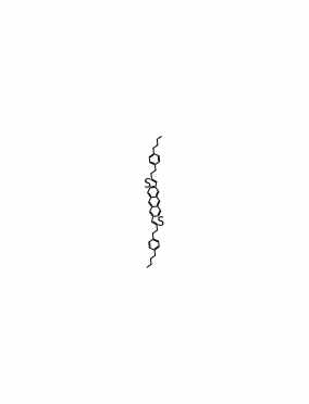 CCCCc1ccc(CCc2cc3cc4cc5cc6sc(CCc7ccc(CCCC)cc7)cc6cc5cc4cc3s2)cc1